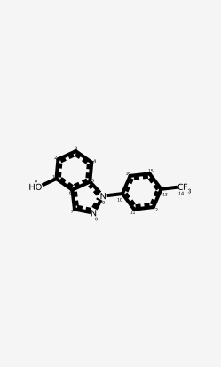 Oc1cccc2c1cnn2-c1ccc(C(F)(F)F)cc1